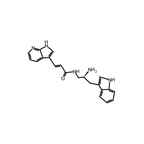 N[C@H](CNC(=O)C=Cc1c[nH]c2ncccc12)Cc1c[nH]c2ccccc12